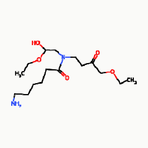 CCOCC(=O)CCN(CC(O)OCC)C(=O)CCCCCN